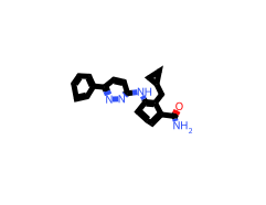 NC(=O)c1cccc(Nc2ccc(-c3ccccc3)nn2)c1CC1CC1